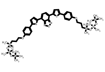 C[Si](C)(C)O[Si](C)(C)O[Si](C)(C)CCCOc1ccc(-c2ccc(-c3ccc(-c4ccc(-c5ccc(OCCC[Si](C)(C)O[Si](C)(C)O[Si](C)(C)C)cc5)s4)c4nsnc34)s2)cc1